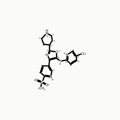 CS(=O)(=O)c1ccc(-c2nc(C3CCNCC3)oc2Sc2ccc(Cl)cn2)cn1